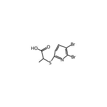 CC(Sc1ccc(Br)c(Br)n1)C(=O)O